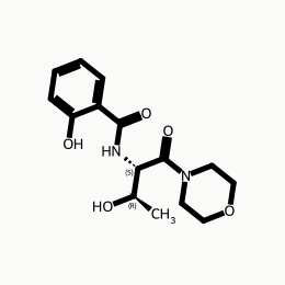 C[C@@H](O)[C@H](NC(=O)c1ccccc1O)C(=O)N1CCOCC1